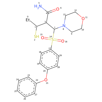 CCC(S)C(C(N)=O)C(N1CCOCC1)S(=O)(=O)c1ccc(Oc2ccccc2)cc1